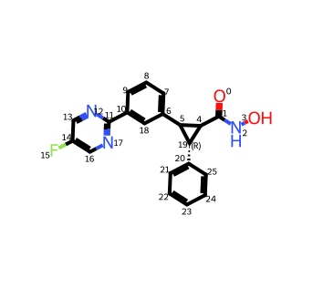 O=C(NO)C1C(c2cccc(-c3ncc(F)cn3)c2)[C@H]1c1ccccc1